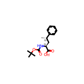 C[C@@H](C[C@H](NC(=O)OC(C)(C)C)C(=O)O)c1ccccc1